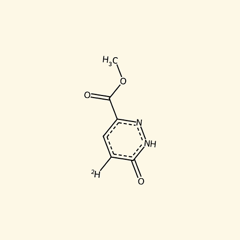 [2H]c1cc(C(=O)OC)n[nH]c1=O